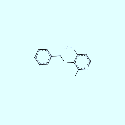 COc1ccnc(C(C)=O)c1OCc1ccccc1